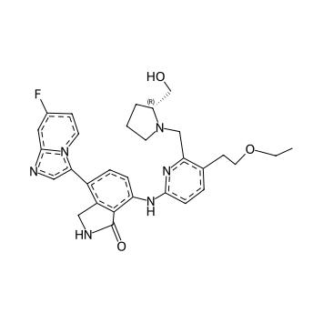 CCOCCc1ccc(Nc2ccc(-c3cnc4cc(F)ccn34)c3c2C(=O)NC3)nc1CN1CCC[C@@H]1CO